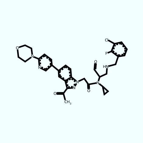 CC(=O)c1nn(CC(=O)N(C(C=O)CNCc2cccc(Cl)c2F)C2CC2)c2ccc(-c3ccc(N4CCOCC4)nc3)cc12